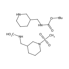 CC(C)(C)OC(=O)NCC1CCCNC1.CS(=O)(=O)N1CCCC(CNC(=O)O)C1